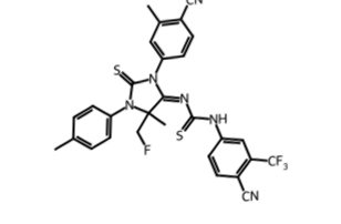 Cc1ccc(N2C(=S)N(c3ccc(C#N)c(C)c3)C(=NC(=S)Nc3ccc(C#N)c(C(F)(F)F)c3)C2(C)CF)cc1